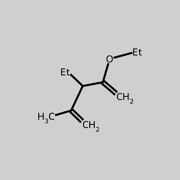 C=C(C)C(CC)C(=C)OCC